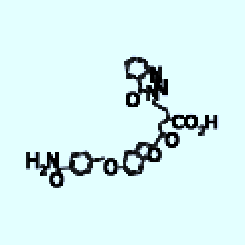 NC(=O)c1ccc(COc2ccc3oc(C(=O)CC(CCn4nnc5ccccc5c4=O)C(=O)O)cc3c2)cc1